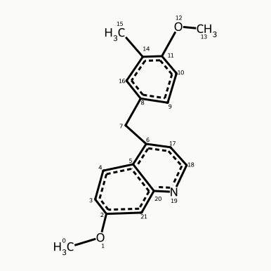 COc1ccc2c(Cc3ccc(OC)c(C)c3)ccnc2c1